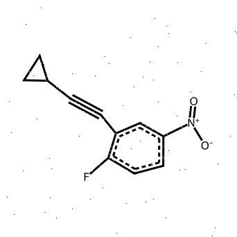 O=[N+]([O-])c1ccc(F)c(C#CC2CC2)c1